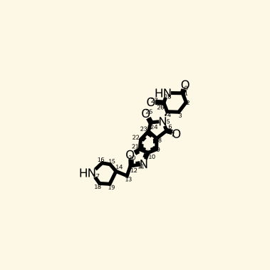 O=C1CC[C@H](N2C(=O)c3cc4nc(CC5CCNCC5)oc4cc3C2=O)C(=O)N1